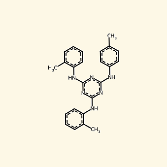 Cc1ccc(Nc2nc(Nc3ccccc3C)nc(Nc3ccccc3C)n2)cc1